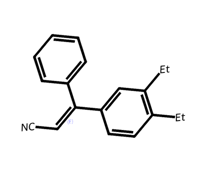 CCc1ccc(/C(=C/C#N)c2ccccc2)cc1CC